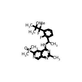 COC(C)(C)C(F)(F)c1cccc([C@@H](C)Nc2nc(C)nc3cnc(P(C)(C)=O)cc23)c1F